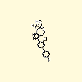 CC1(CO)Cc2nnc(-c3ccc(-c4ccc(F)cc4)cc3Cl)n2CCS1